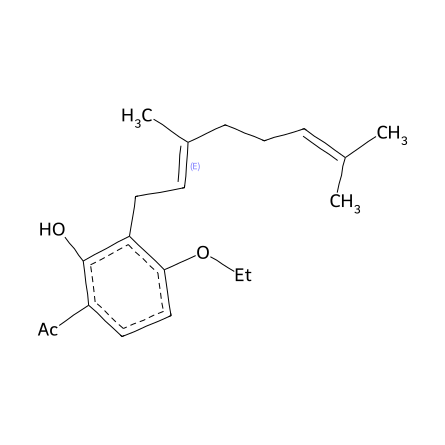 CCOc1ccc(C(C)=O)c(O)c1C/C=C(\C)CCC=C(C)C